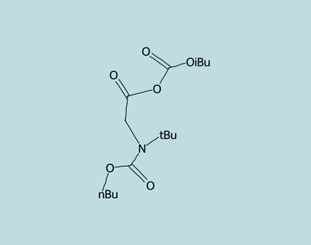 CCCCOC(=O)N(CC(=O)OC(=O)OCC(C)C)C(C)(C)C